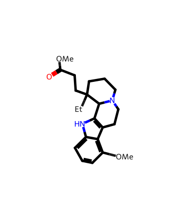 CCC1(CCC(=O)OC)CCCN2CCc3c([nH]c4cccc(OC)c34)C21